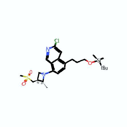 C[C@@H]1[C@@H](CS(C)(=O)=O)CN1c1ccc(CCCO[Si](C)(C)C(C)(C)C)c2cc(Cl)ncc12